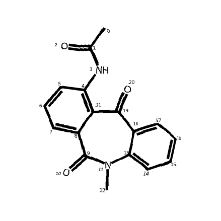 CC(=O)Nc1cccc2c(=O)n(C)c3ccccc3c(=O)c12